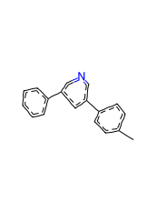 Cc1ccc(-c2cncc(-c3ccccc3)c2)cc1